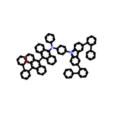 c1ccc(-c2ccccc2-c2ccc3c(c2)c2cc(-c4ccccc4-c4ccccc4)ccc2n3-c2ccc(N(c3ccccc3)c3c4ccccc4c(-c4c5ccccc5c(-c5ccccc5-c5ccccc5)c5ccccc45)c4ccccc34)cc2)cc1